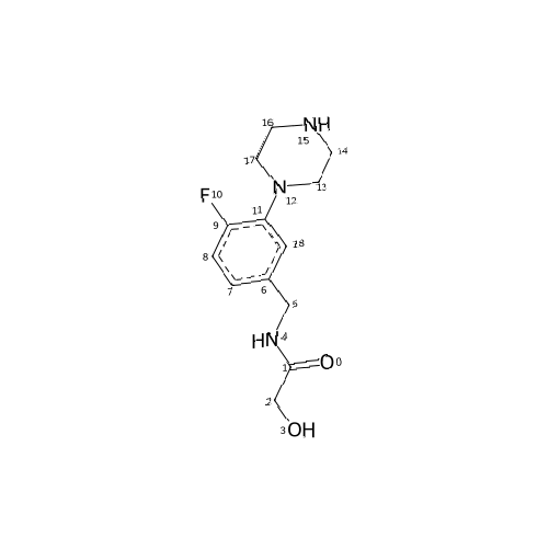 O=C(CO)NCc1ccc(F)c(N2CCNCC2)c1